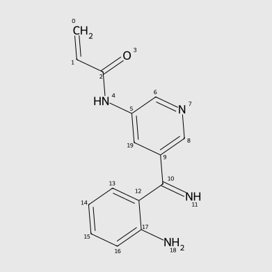 C=CC(=O)Nc1cncc(C(=N)c2ccccc2N)c1